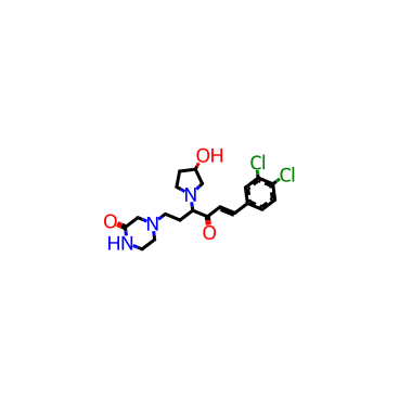 O=C1CN(CCC(C(=O)/C=C/c2ccc(Cl)c(Cl)c2)N2CCC(O)C2)CCN1